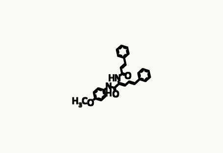 COc1ccc(NC(=O)/C(=C/C=C/c2ccccc2)NC(=O)C=Cc2ccccc2)cc1